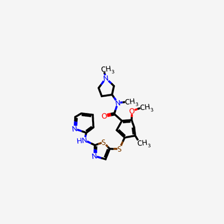 COc1cc(C)c(Sc2cnc(Nc3ccccn3)s2)cc1C(=O)N(C)C1CCN(C)C1